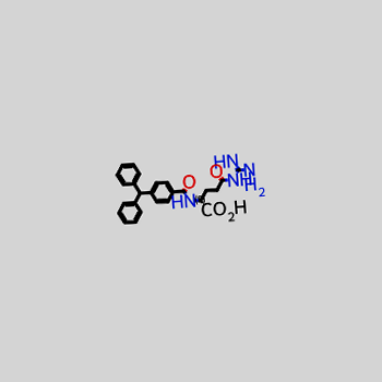 N=C(N)NC(=O)CC[C@H](NC(=O)c1ccc(C(c2ccccc2)c2ccccc2)cc1)C(=O)O